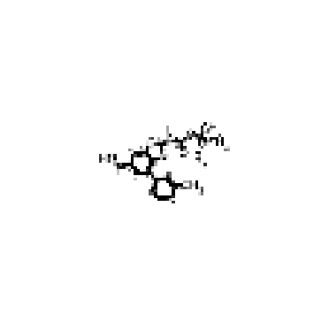 Cc1cccc(-c2cc(CO)cc3oc(NC(=O)OC(C)(C)C)nc23)c1